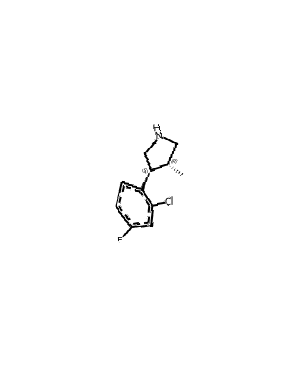 C[C@H]1CNC[C@@H]1c1ccc(F)cc1Cl